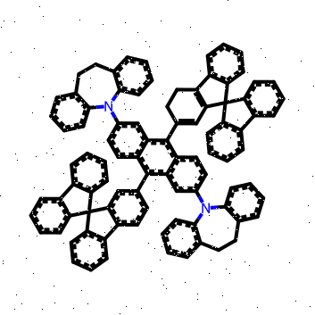 C1=C(c2c3cc(N4c5ccccc5CCc5ccccc54)ccc3c(-c3ccc4c(c3)C3(c5ccccc5-c5ccccc53)c3ccccc3-4)c3cc(N4c5ccccc5CCc5ccccc54)ccc23)CCC2=C1C1(c3ccccc32)c2ccccc2-c2ccccc21